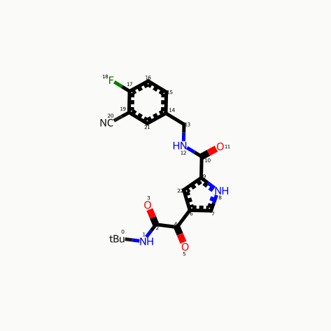 CC(C)(C)NC(=O)C(=O)c1c[nH]c(C(=O)NCc2ccc(F)c(C#N)c2)c1